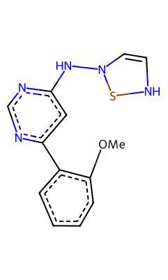 COc1ccccc1-c1cc(NN2C=CNS2)ncn1